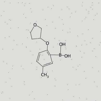 Cc1ccc(OC2CCOC2)c(B(O)O)c1